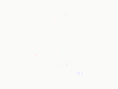 CC(C)C(=O)OCc1ccc(CCCCN)cc1OC1CC(O)CC(C(=O)O)O1